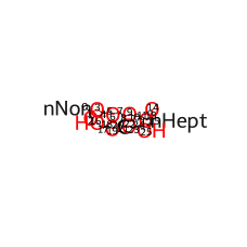 CCCCCCCCCC(=O)OCCOCCOCCOC(=O)CCCCCCC.OCCOCCOCCO